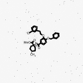 COC(=O)[C@]1(NC(=O)c2ccc(OCc3ccccc3)c(OCCc3cccc(Cl)c3)c2)CC[C@H](C)CC1